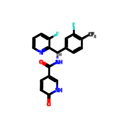 O=C(N[C@@H](c1ccc(C(F)(F)F)c(F)c1)c1ncccc1F)c1ccc(=O)[nH]c1